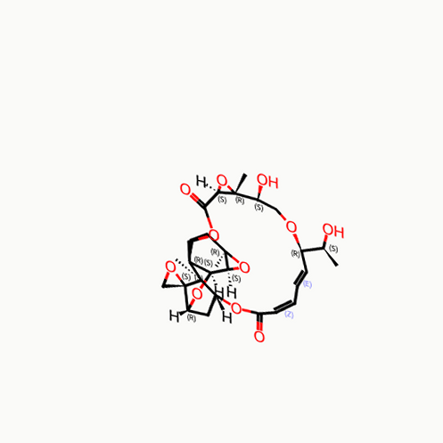 C[C@H](O)[C@H]1/C=C/C=C\C(=O)O[C@@H]2C[C@H]3O[C@@H]4[C@@H]5O[C@]5(C)CC[C@]4(COC(=O)[C@H]4O[C@]4(C)[C@@H](O)CO1)[C@]2(C)[C@]31CO1